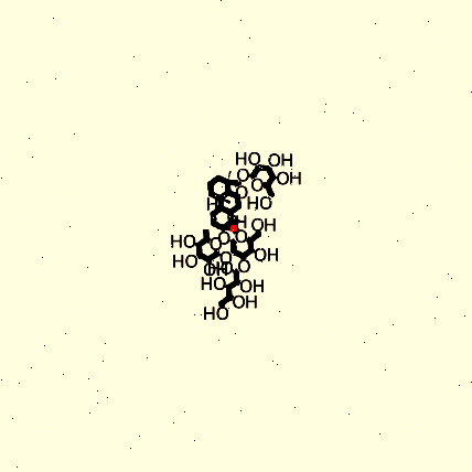 C=C1C[C@@]23CCC4[C@](C)(C(=O)O[C@@H]5OC(CO)[C@@H](O)C(O)C5O)CCC[C@@]4(C)[C@@H]2CC[C@]1(O[C@@H]1OC(CO)[C@@H](O)C(O[C@H](O)C(O)[C@H](O)C(O)CO)C1O[C@@H]1OC(C)[C@H](O)C(O)C1O)[C@@H]3C